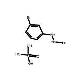 BrNNc1cccc(Br)c1.O=P(O)(O)O